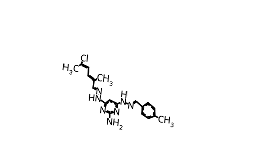 C\C(Cl)=C/C=C(C)/C=N/Nc1cc(N/N=C/c2ccc(C)cc2)nc(N)n1